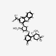 C[C@@H]1CS(=O)(=O)CC[C@@]1(F)c1cc(Cl)cnc1O[C@H]1C[C@@H](C(=O)O)N(c2nc(C(F)F)nc3c2oc2ccccc23)C1